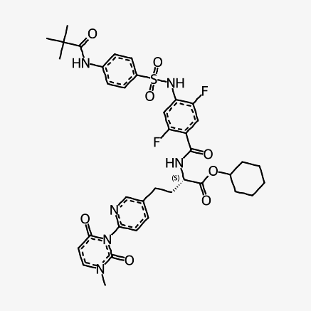 Cn1ccc(=O)n(-c2ccc(CC[C@H](NC(=O)c3cc(F)c(NS(=O)(=O)c4ccc(NC(=O)C(C)(C)C)cc4)cc3F)C(=O)OC3CCCCC3)cn2)c1=O